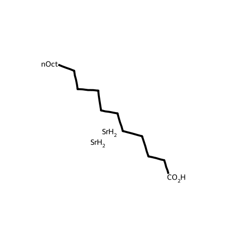 CCCCCCCCCCCCCCCCCC(=O)O.[SrH2].[SrH2]